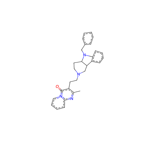 Cc1nc2ccccn2c(=O)c1CCN1CCC2C(C1)c1ccccc1N2Cc1ccccc1